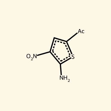 CC(=O)c1cc([N+](=O)[O-])c(N)s1